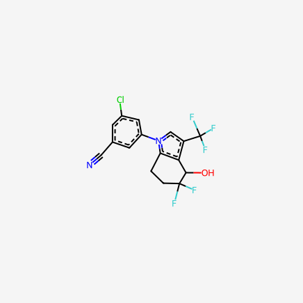 N#Cc1cc(Cl)cc(-n2cc(C(F)(F)F)c3c2CCC(F)(F)C3O)c1